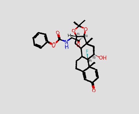 CC1(C)O[C@H]2CC3C4CCC5=CC(=O)C=CC5(C)[C@@]4(F)[C@@H](O)CC3(C)[C@]2(C(=O)CNC(=O)Oc2ccccc2)O1